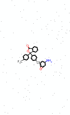 Nc1ccc2c(c1)O2.O=C1OC(c2ccc(C(F)(F)F)cc2)(c2ccc(C(F)(F)F)cc2)c2ccccc21